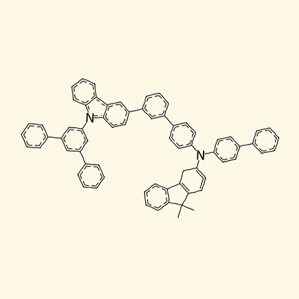 CC1(C)C2=C(CC(N(c3ccc(-c4ccccc4)cc3)c3ccc(-c4cccc(-c5ccc6c(c5)c5ccccc5n6-c5cc(-c6ccccc6)cc(-c6ccccc6)c5)c4)cc3)=C=C2)c2ccccc21